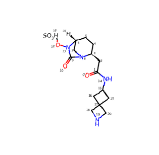 O=C(C[C@@H]1CC[C@@H]2CN1C(=O)N2OS(=O)(=O)O)NC1CC2(CNC2)C1